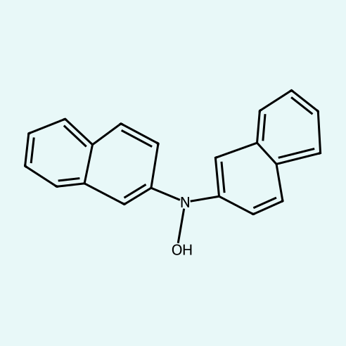 ON(c1ccc2ccccc2c1)c1ccc2ccccc2c1